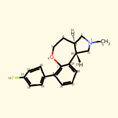 CN1C[C@@H]2CCOc3c(-c4ccc(F)cc4)cccc3[C@H]2C1